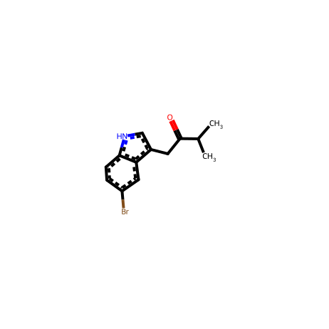 CC(C)C(=O)Cc1c[nH]c2ccc(Br)cc12